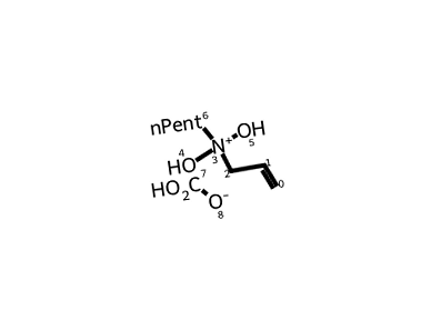 C=CC[N+](O)(O)CCCCC.O=C([O-])O